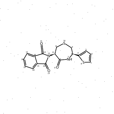 O=C1N[C@H](c2cccs2)CSC[C@@H]1N1C(=O)c2ccccc2C1=O